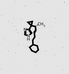 C[C@H](/C=C/CCC1CCCCC1)C1(c2c[nH]cn2)CC1